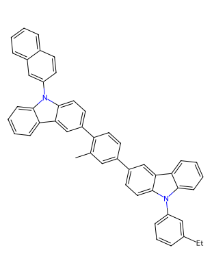 CCc1cccc(-n2c3ccccc3c3cc(-c4ccc(-c5ccc6c(c5)c5ccccc5n6-c5ccc6ccccc6c5)c(C)c4)ccc32)c1